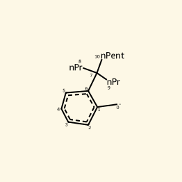 [CH2]c1ccccc1C(CCC)(CCC)CCCCC